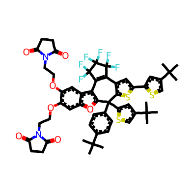 CC(C)(C)c1ccc(C2(c3cc(C(C)(C)C)cs3)c3oc4cc(OCCN5C(=O)CCC5=O)c(OCCN5C(=O)CCC5=O)cc4c3C3=C(c4cc(-c5cc(C(C)(C)C)cs5)sc42)C(F)(F)C(F)(F)C3(F)F)cc1